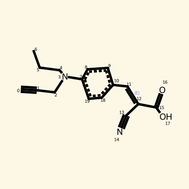 C#CCN(CCC)c1ccc(/C=C(\C#N)C(=O)O)cc1